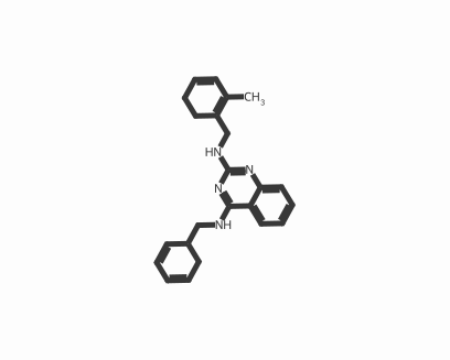 CC1=C(CNc2nc(NCC3C=CC=CC3)c3ccccc3n2)CCC=C1